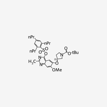 CCCc1cc(CCC)c(S(=O)(=O)Oc2nc(C)nc3cc(OC)c(O[C@H]4CCN(C(=O)OC(C)(C)C)C4)cc23)c(CCC)c1